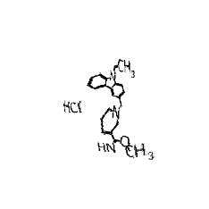 CCn1c2ccccc2c2cc(CN3CCCC(C(=N)OC)C3)ccc21.Cl